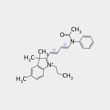 CCC[N+]1=C(/C=C/C=C/N(C(C)=O)c2ccccc2)C(C)(C)c2cc(C)ccc21